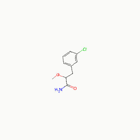 COC(Cc1cccc(Cl)c1)C(N)=O